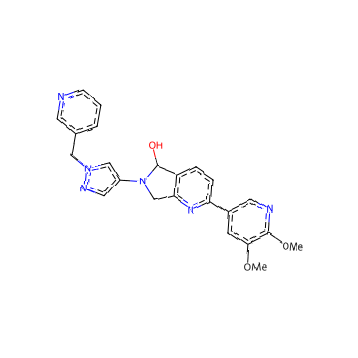 COc1cc(-c2ccc3c(n2)CN(c2cnn(Cc4cccnc4)c2)C3O)cnc1OC